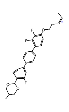 C/C=C\CCOc1ccc(-c2ccc(-c3ccc(C4OCC(C)CO4)c(F)c3)cc2)c(F)c1F